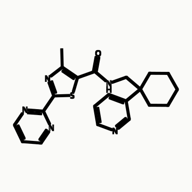 Cc1nc(-c2ncccn2)sc1C(=O)NCC1(c2cccnc2)CCCCC1